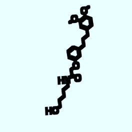 COc1ccc(CCCc2cccc(OCC(=O)NCCCCCO)c2)cc1OC